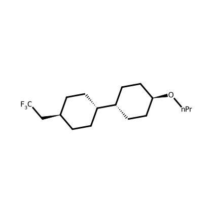 CCCO[C@H]1CC[C@H]([C@H]2CC[C@H](CC(F)(F)F)CC2)CC1